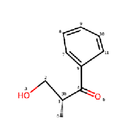 C[C@H](CO)C(=O)c1ccccc1